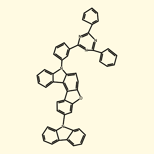 c1ccc(-c2nc(-c3ccccc3)nc(-c3cccc(-n4c5ccccc5c5c6c(ccc54)oc4cc(-n5c7ccccc7c7ccccc75)ccc46)c3)n2)cc1